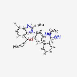 CCCCc1nc2c(C)ccc(C(=O)OC)c2n1-c1ccc(-c2ccccc2C(=N)NOC(C)=O)cc1